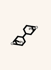 CC(C)C12CC(C3CCC4OC4(C(C)C)C3)CCC1O2